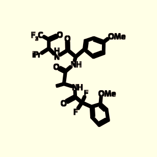 COc1ccc(C(NC(=O)C(C)NC(=O)C(F)(F)c2ccccc2OC)C(=O)NC(C(=O)C(F)(F)F)C(C)C)cc1